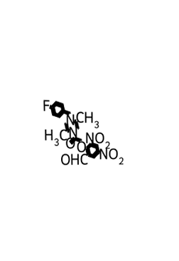 CC1CN(C(=O)COc2c(C=O)cc([N+](=O)[O-])cc2[N+](=O)[O-])C(C)CN1Cc1ccc(F)cc1